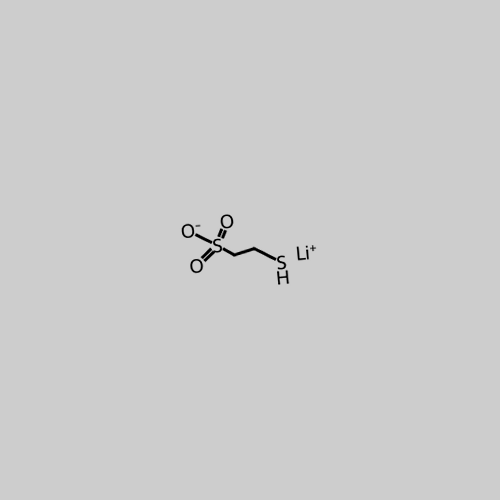 O=S(=O)([O-])CCS.[Li+]